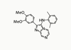 COc1ccc(-c2nc3cnccn3c2Nc2c(C)cccc2C)cc1OC